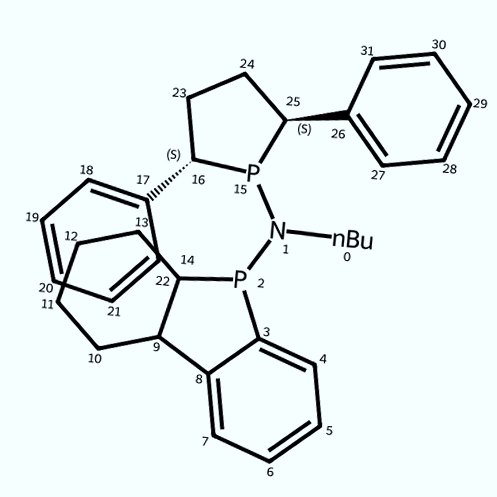 CCCCN(P1c2ccccc2C2CCCCC21)P1[C@H](c2ccccc2)CC[C@H]1c1ccccc1